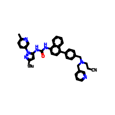 Cc1ccc(-n2nc(C(C)(C)C)cc2NC(=O)Nc2ccc(-c3ccc(CN(CCC#N)Cc4cccnc4)cc3)c3ccccc23)cn1